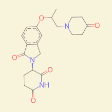 CC(CN1CCC(=O)CC1)Oc1ccc2c(c1)CN([C@@H]1CCC(=O)NC1=O)C2=O